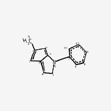 CC1=CC2=CCN(c3ccccc3)C2=C1